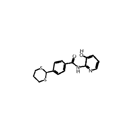 O=C(Nc1ncccc1O)c1ccc(C2SCCCS2)cc1